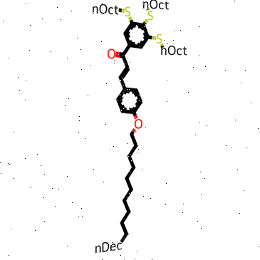 CCCCCCCCCCCCCCCCCCCCOc1ccc(C=CC(=O)c2cc(SCCCCCCCC)c(SCCCCCCCC)c(SCCCCCCCC)c2)cc1